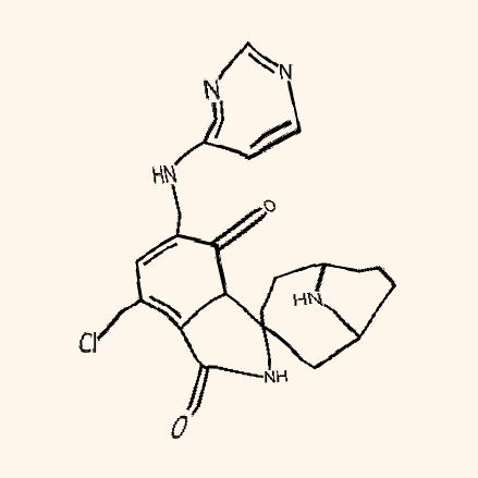 O=C1NC2(CC3CCC(C2)N3)C2C(=O)C(Nc3ccncn3)=CC(Cl)=C12